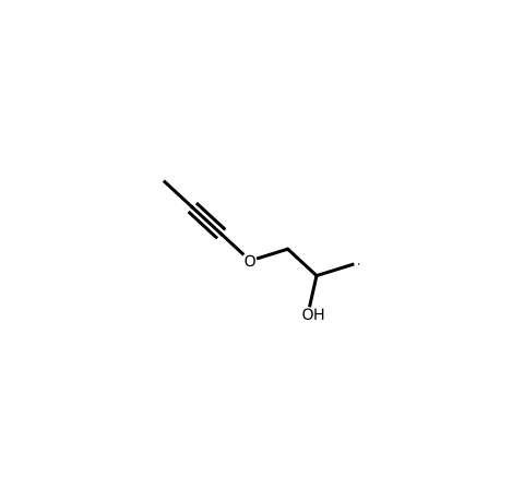 [CH2]C(O)COC#CC